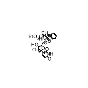 CCOC(=O)C(C)(C)NP(=O)(OC[C@H]1O[C@]2(n3ccc(=O)[nH]c3=O)C[C@@]2(Cl)[C@@H]1O)Oc1ccccc1